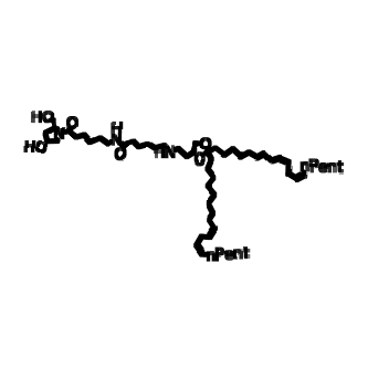 CCCCC/C=C\C/C=C\CCCCCCCCC1(CCCCCCCC/C=C\C/C=C\CCCCC)OCC(CCNCCCCCC(=O)NCCCCCC(=O)N2C[C@H](O)C[C@H]2CO)O1